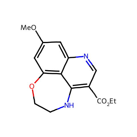 CCOC(=O)c1cnc2cc(OC)cc3c2c1NCCO3